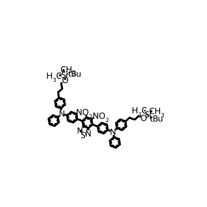 CC(C)(C)[Si](C)(C)OCCCc1ccc(N(c2ccccc2)c2ccc(-c3c([N+](=O)[O-])c([N+](=O)[O-])c(-c4ccc(N(c5ccccc5)c5ccc(CCCO[Si](C)(C)C(C)(C)C)cc5)cc4)c4nsnc34)cc2)cc1